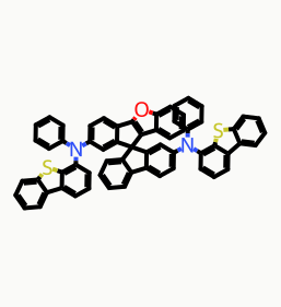 c1ccc(N(c2ccc3c(c2)C2(c4ccccc4-3)c3cc(N(c4ccccc4)c4cccc5c4sc4ccccc45)ccc3-c3oc4ccccc4c32)c2cccc3c2sc2ccccc23)cc1